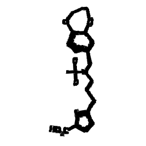 CS(=O)(=O)N(CCCc1ccc(C(=O)O)s1)Cc1ccc2c(c1)OCCO2